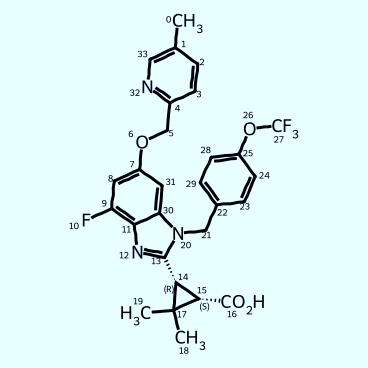 Cc1ccc(COc2cc(F)c3nc([C@@H]4[C@H](C(=O)O)C4(C)C)n(Cc4ccc(OC(F)(F)F)cc4)c3c2)nc1